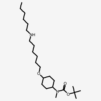 CCCCCCNCCCCCCOC1CCC(N(C)C(=O)OC(C)(C)C)CC1